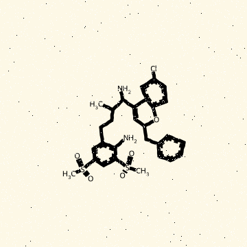 CC(CCc1cc(S(C)(=O)=O)cc(S(C)(=O)=O)c1N)C(N)C1=CC(Cc2ccccc2)Oc2ccc(Cl)cc21